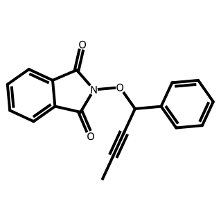 CC#CC(ON1C(=O)c2ccccc2C1=O)c1ccccc1